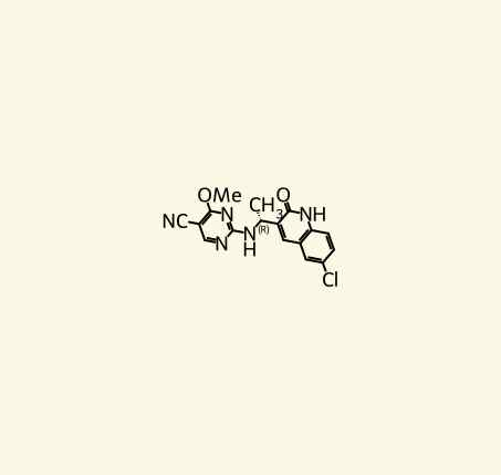 COc1nc(N[C@H](C)c2cc3cc(Cl)ccc3[nH]c2=O)ncc1C#N